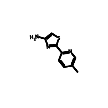 Cc1ccc(-c2nc(N)cs2)nc1